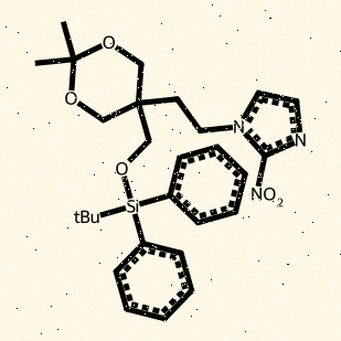 CC1(C)OCC(CCn2ccnc2[N+](=O)[O-])(CO[Si](c2ccccc2)(c2ccccc2)C(C)(C)C)CO1